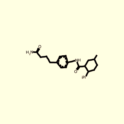 CC1CCC(C(C)C)C(C(=O)Nc2ccc(CCCC(N)=O)cc2)C1